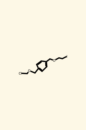 ClCOCc1ccc(COCCI)cc1